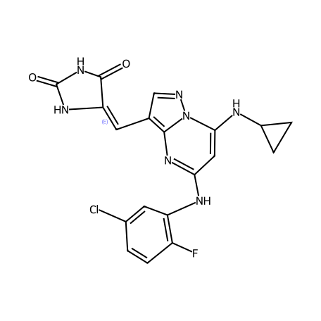 O=C1NC(=O)/C(=C\c2cnn3c(NC4CC4)cc(Nc4cc(Cl)ccc4F)nc23)N1